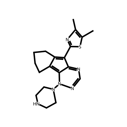 Cc1nc(-c2c3ncnn(N4CCNCC4)c-3c3c2CCCC3)sc1C